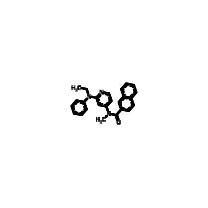 CCN(c1ccccc1)c1cc(N(C)C(=O)c2ccc3ccccc3c2)ccn1